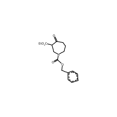 CCOC(=O)C1CN(C(=O)OCc2ccccc2)CCCC1=O